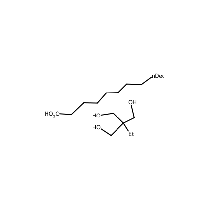 CCC(CO)(CO)CO.CCCCCCCCCCCCCCCCCC(=O)O